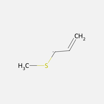 C=C[CH]SC